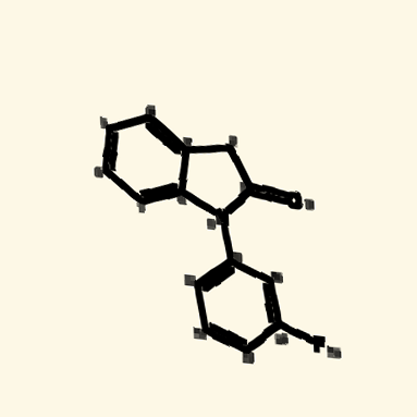 O=C1Cc2ccccc2N1c1cccc(F)c1